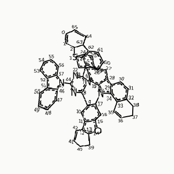 C1=CC2Sc3c(-c4nc(-c5cc6c7c(oc6cc5-n5c6cc8ccccc8cc6c6ccc8c(c65)C=CCC8)CCC=C7)nc(-n5c6ccccc6c6ccccc65)n4)cccc3C2C=C1